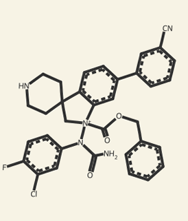 N#Cc1cccc(-c2ccc3c(c2)[N+](C(=O)OCc2ccccc2)(N(C(N)=O)c2ccc(F)c(Cl)c2)CC32CCNCC2)c1